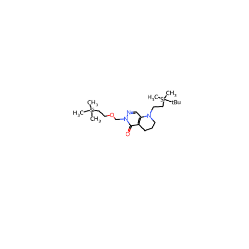 CC(C)(C)[Si](C)(C)CCN1CCCc2c1cnn(COCC[Si](C)(C)C)c2=O